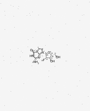 Nc1nc2c(ccn2[C@@H]2O[C@H](CO)C(O)C2F)c(=O)[nH]1